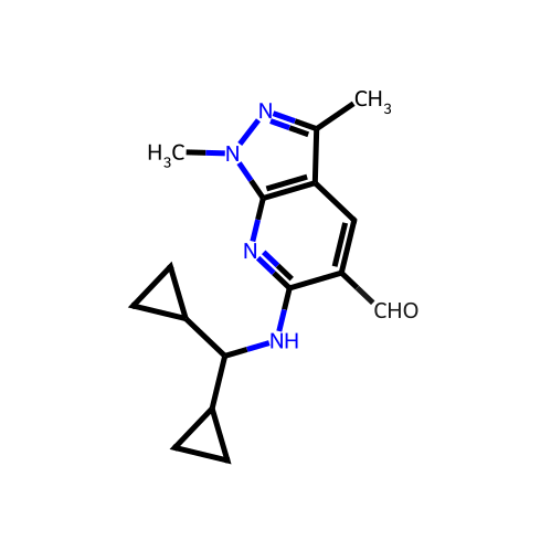 Cc1nn(C)c2nc(NC(C3CC3)C3CC3)c(C=O)cc12